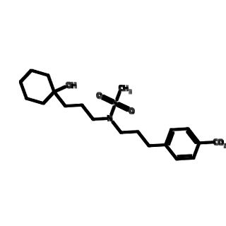 CS(=O)(=O)N(CCCc1ccc(C(=O)O)cc1)CCCC1(O)CCCCC1